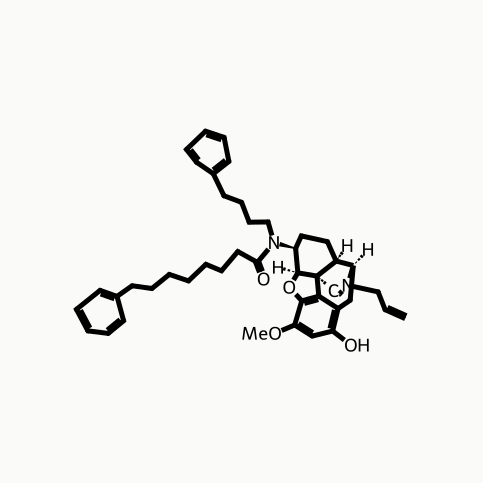 C=CCN1CC[C@]23c4c5c(O)cc(OC)c4O[C@H]2[C@@H](N(CCCCc2ccccc2)C(=O)CCCCCCCc2ccccc2)CC[C@H]3[C@H]1C5